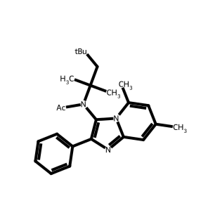 CC(=O)N(c1c(-c2ccccc2)nc2cc(C)cc(C)n12)C(C)(C)CC(C)(C)C